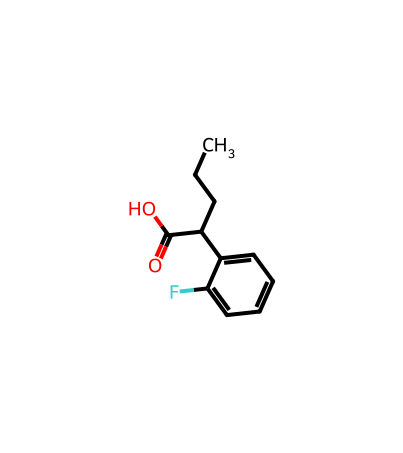 CCCC(C(=O)O)c1ccccc1F